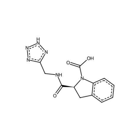 O=C(NCc1nn[nH]n1)[C@@H]1Cc2ccccc2N1C(=O)O